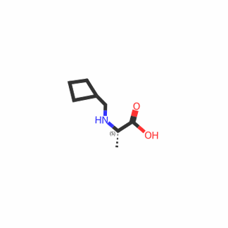 C[C@H](NCC1CCC1)C(=O)O